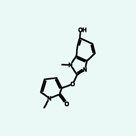 Cn1cccc(Oc2nc3ccc(O)cc3n2C)c1=O